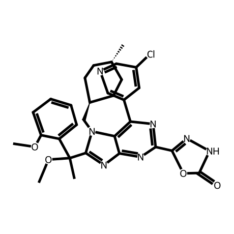 COc1ccccc1C(C)(OC)c1nc2nc(-c3n[nH]c(=O)o3)nc(-c3cncc(Cl)c3)c2n1C[C@H]1CC[C@H](C)CC1